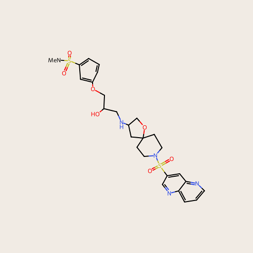 CNS(=O)(=O)c1cccc(OCC(O)CNC2COC3(CCN(S(=O)(=O)c4cnc5cccnc5c4)CC3)C2)c1